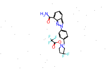 NC(=O)c1cccc2cn(-c3ccc(C[N+]4(OC(=O)C(F)(F)F)CCC(F)(F)C4)cc3)nc12